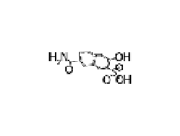 NC(=O)c1ccc2cc(O)c(S(=O)(=O)O)cc2c1